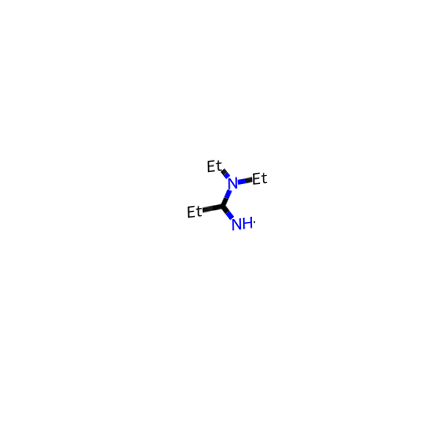 CCC([NH])N(CC)CC